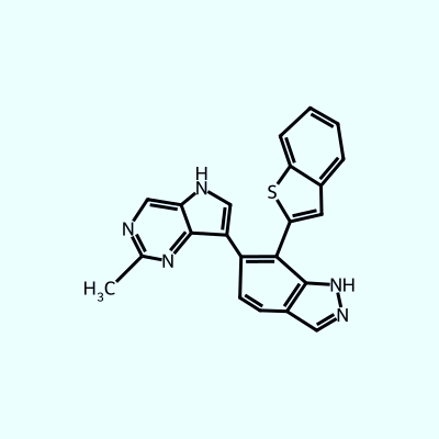 Cc1ncc2[nH]cc(-c3ccc4cn[nH]c4c3-c3cc4ccccc4s3)c2n1